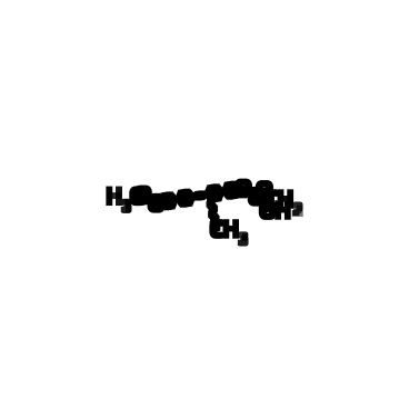 C=C(CO)C(=O)OCCOc1ccc(-c2ccc(C#Cc3ccc(-c4ccc(OCCOC)cc4)cc3)c(CCCCCC)c2)cc1